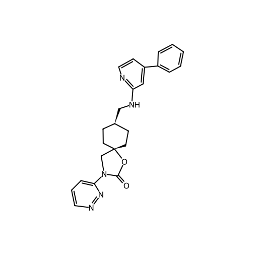 O=C1O[C@]2(CC[C@H](CNc3cc(-c4ccccc4)ccn3)CC2)CN1c1cccnn1